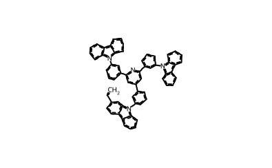 C=Cc1ccc2c3ccccc3n(-c3cccc(-c4cc(-c5cccc(-n6c7ccccc7c7ccccc76)c5)nc(-c5cccc(-n6c7ccccc7c7ccccc76)c5)c4)c3)c2c1